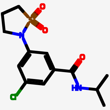 CC(C)NC(=O)c1cc(Cl)cc(N2CCCS2(=O)=O)c1